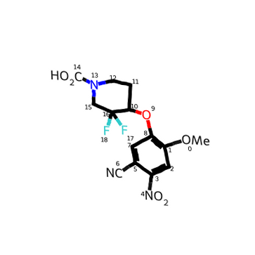 COc1cc([N+](=O)[O-])c(C#N)cc1OC1CCN(C(=O)O)CC1(F)F